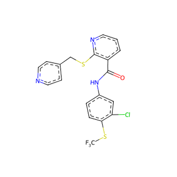 O=C(Nc1ccc(SC(F)(F)F)c(Cl)c1)c1cccnc1SCc1ccncc1